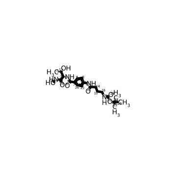 C[C@@H](O)[C@H](NC(=O)c1ccc(NC(=O)CCCNC(=O)OC(C)(C)C)cc1)C(=O)NO